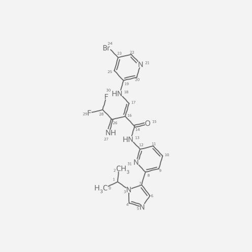 CC(C)n1cncc1-c1cccc(NC(=O)/C(=C/Nc2cncc(Br)c2)C(=N)C(F)F)n1